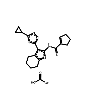 O=C(Nc1sc2c(c1-c1nc(C3CC3)ns1)CCCC2)C1=CCCC1.O=C(O)O